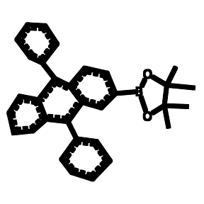 CC1(C)OB(c2ccc3c(-c4ccccc4)c4ccccc4c(-c4ccccc4)c3c2)OC1(C)C